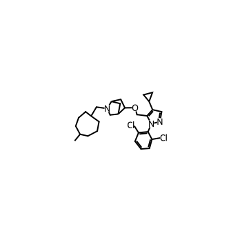 CC1CCCC(CN2CC3CC2CC3OCc2c(C3CC3)cnn2-c2c(Cl)cccc2Cl)CCC1